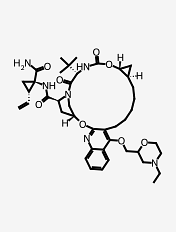 C=C[C@@H]1C[C@]1(NC(=O)[C@@H]1C[C@@H]2CN1C(=O)[C@H](C(C)(C)C)NC(=O)O[C@@H]1C[C@H]1CCCCCc1c(nc3ccccc3c1OCC1CN(CC)CCO1)O2)C(N)=O